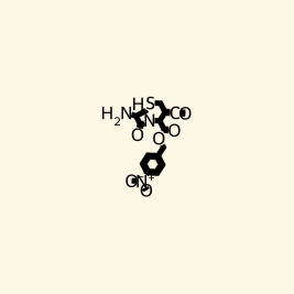 NC1C(=O)N2C(C(=O)OCc3ccc([N+](=O)[O-])cc3)C(=C=O)CS[C@@H]12